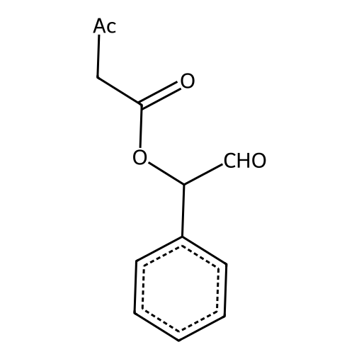 CC(=O)CC(=O)OC(C=O)c1ccccc1